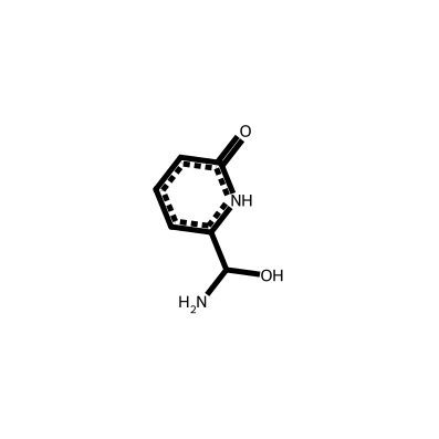 NC(O)c1cccc(=O)[nH]1